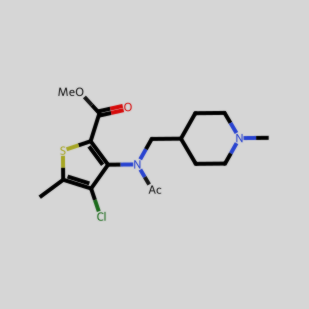 COC(=O)c1sc(C)c(Cl)c1N(CC1CCN(C)CC1)C(C)=O